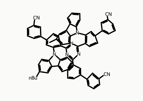 CCCCc1ccc2c(c1)c1ccccc1n2-c1cc(-c2cccc(C#N)c2)ccc1-c1nc(-c2cccc(-c3cccc(C#N)c3)c2)nc(-c2ccc(-c3cccc(C#N)c3)cc2-n2c3ccccc3c3cc(C)ccc32)n1